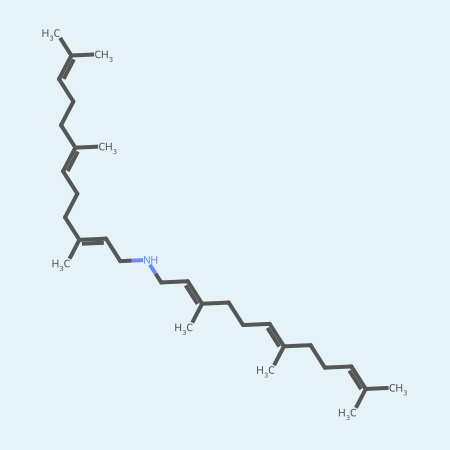 CC(C)=CCC/C(C)=C/CC/C(C)=C/CNC/C=C(\C)CC/C=C(\C)CCC=C(C)C